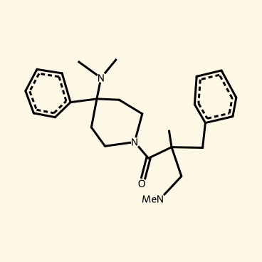 CNCC(C)(Cc1ccccc1)C(=O)N1CCC(c2ccccc2)(N(C)C)CC1